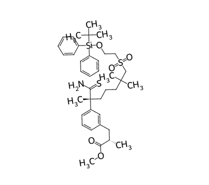 COC(=O)[C@@H](C)Cc1cccc([C@@](C)(CCCC(C)(C)CS(=O)(=O)CCO[Si](c2ccccc2)(c2ccccc2)C(C)(C)C)C(N)=S)c1